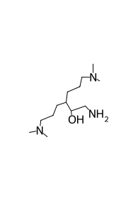 CN(C)CCCC(CCCN(C)C)C(O)CN